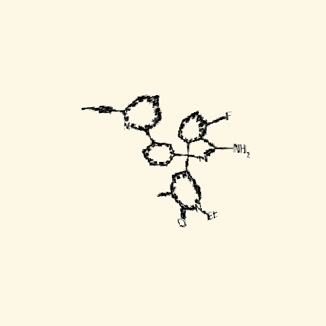 CC#Cc1cccc(-c2cccc(C3(c4cc(C)c(=O)n(CC)c4)N=C(N)c4c(F)cccc43)c2)n1